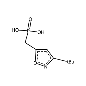 CC(C)(C)c1cc(CP(=O)(O)O)on1